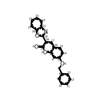 O=c1oc2cc(OCc3ccccc3)ccc2cc1-c1nc2ccccc2o1